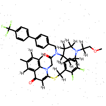 [2H]c1c(C)c([2H])c2c(=O)c([2H])c(SC([2H])([2H])c3cccc(F)c3F)n(CC(=O)N(Cc3ccc(-c4ccc(C(F)(F)F)cc4)cc3)C3([2H])C([2H])([2H])C([2H])([2H])N(C([2H])([2H])COC)C([2H])([2H])C3([2H])[2H])c2c1[2H]